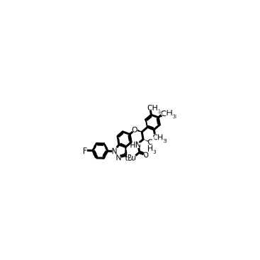 Cc1cc(C)c([C@H](Oc2ccc3c(cnn3-c3ccc(F)cc3)c2)[C@H](C)NC(=O)C(C)(C)C)cc1C